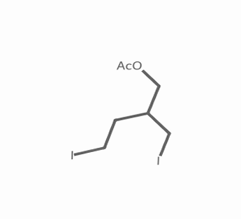 CC(=O)OCC(CI)CCI